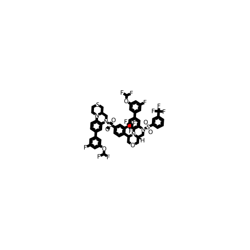 O=S(=O)(c1ccc(C2COC[C@H]3CN(S(=O)(=O)c4cccc(C(F)(F)F)c4)c4cc(-c5cc(F)cc(OC(F)F)c5)ccc4N23)c(C(F)(F)F)c1)N1CC2CSCCN2c2ccc(-c3cc(F)cc(OC(F)F)c3)cc21